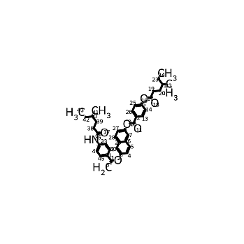 C=C(Oc1ccc2cc(OC(=O)c3ccc(OC(=O)CCC(C)CC)cc3)ccc2c1)c1ccc(NC(=O)CCC(C)CC)cc1